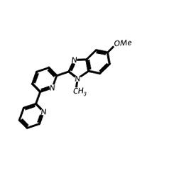 COc1ccc2c(c1)nc(-c1cccc(-c3ccccn3)n1)n2C